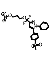 CS(=O)(=O)c1ccc(-c2cc(C(F)(F)OCCCO[N+](=O)[O-])nn2-c2ccccc2)cc1